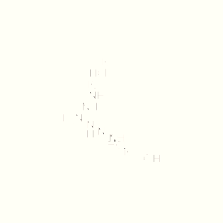 Cl.Cl.Cl.Cl.Cl.Cl.N.N.N.N.N.N